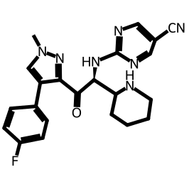 Cn1cc(-c2ccc(F)cc2)c(C(=O)[C@@H](Nc2ncc(C#N)cn2)C2CCCCN2)n1